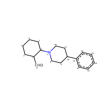 O=CC1CCCCC1N1CCC(c2ccccc2)CC1